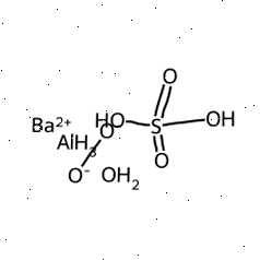 O.O=S(=O)(O)O.[AlH3].[Ba+2].[O-][O-]